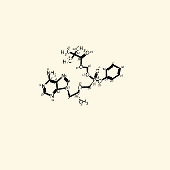 C[C@H](Cn1cnc2c(N)ncnc21)OC[P@](=O)(OCOC(=O)C(C)(C)C)Oc1ccccc1